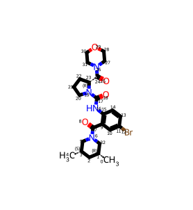 C[C@@H]1C[C@H](C)CN(C(=O)c2cc(Br)ccc2NC(=O)N2CCC[C@@H]2C(=O)N2CCOCC2)C1